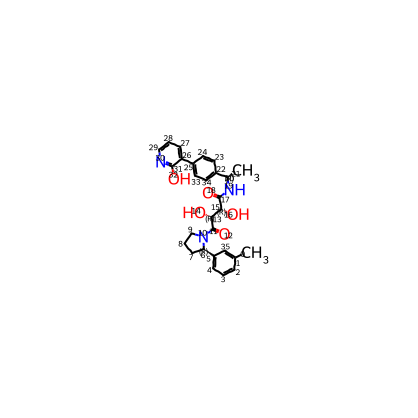 Cc1cccc([C@H]2CCCN2C(=O)[C@H](O)[C@@H](O)C(=O)N[C@H](C)c2ccc(-c3cccnc3O)cc2)c1